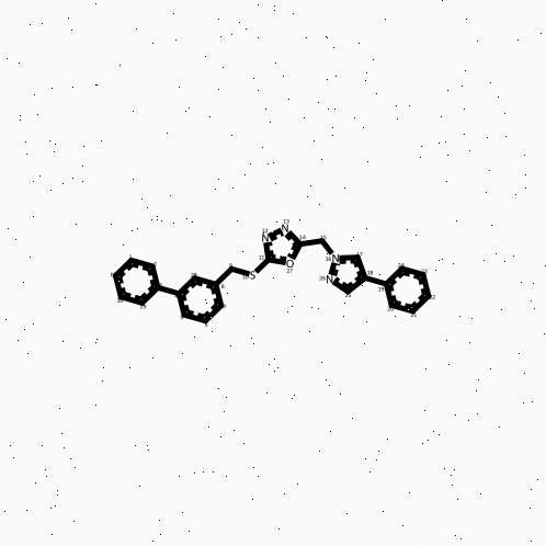 c1ccc(-c2cccc(CSc3nnc(Cn4cc(-c5ccccc5)cn4)o3)c2)cc1